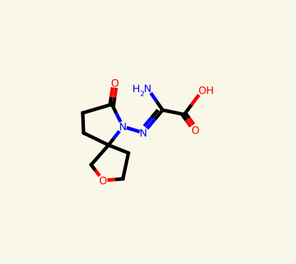 N/C(=N\N1C(=O)CCC12CCOC2)C(=O)O